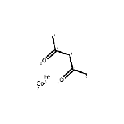 CC(=O)CC(C)=O.[Co].[Fe]